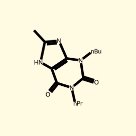 CCCCn1c(=O)n(CCC)c(=O)c2[nH]c(C)nc21